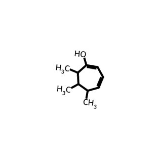 CC1C=CC=C(O)C(C)C1C